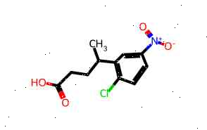 CC(CCC(=O)O)c1cc([N+](=O)[O-])ccc1Cl